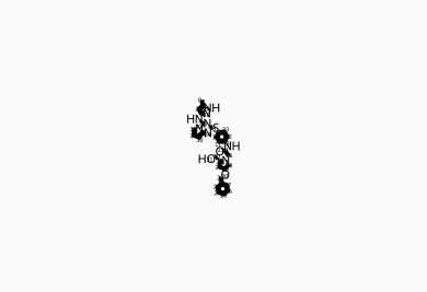 Cc1cc(Nc2nc(Sc3ccc(NC(=O)CN4C[C@H](OCc5ccccc5)C[C@H]4CO)cc3)nc3cccn23)n[nH]1